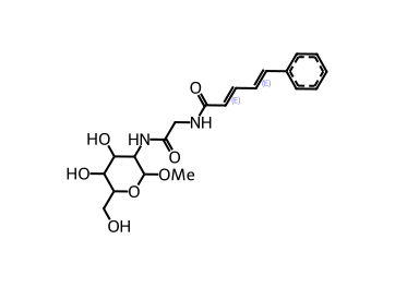 COC1OC(CO)C(O)C(O)C1NC(=O)CNC(=O)/C=C/C=C/c1ccccc1